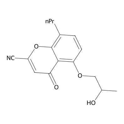 CCCc1ccc(OCC(C)O)c2c(=O)cc(C#N)oc12